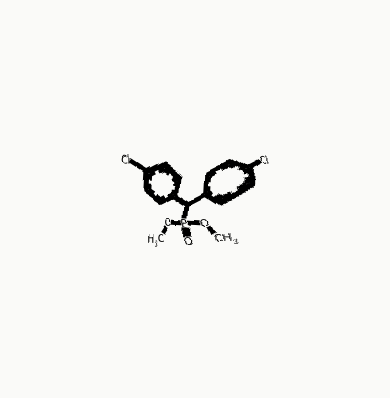 COP(=O)(OC)C(c1ccc(Cl)cc1)c1ccc(Cl)cc1